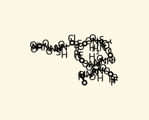 CC(C)CCc1sc(CNC(=O)COc2ccc(OC(F)(F)F)cc2)nc1C(N)=O.COc1ccc(OC)c(CCNC(=O)c2csc(CNC(=O)COc3ccc(OC(F)(F)F)cc3)n2)c1.Cc1onc(-c2ccccc2)c1CNC(=O)c1csc(CNC(=O)COc2ccc(OC(F)(F)F)cc2)n1.O=C(CNC(=O)c1ccc([N+](=O)[O-])cc1)NCc1nc(C(=O)NCCc2cccc(Cl)c2)cs1